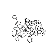 Cc1cc2c3c(c1)N(c1ccc(-c4ccccc4)cc1-c1ccccc1)c1ccc([Si](c4ccccc4)(c4ccccc4)c4ccccc4)cc1B3c1ccc(N(c3ccccc3)c3ccccc3)cc1N2c1cc(C(C)(C)C)cc(C(C)(C)C)c1